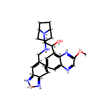 COc1cnc2cccc(C(O)CN3C4CCC3CC(NCc3ccc5nsnc5c3)C4)c2n1